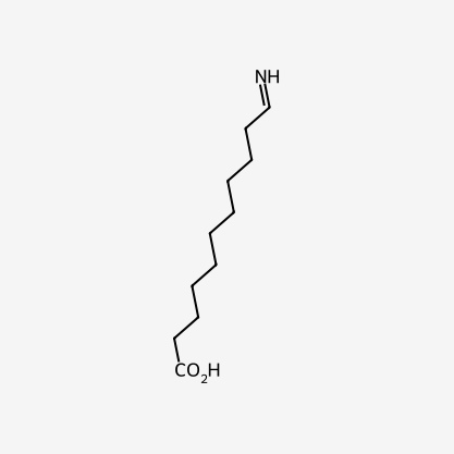 N=CCCCCCCCCCC(=O)O